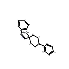 COC1(/C=C\c2ccccc2)CCN(c2cc[c]cc2)CC1